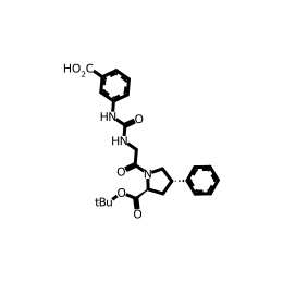 CC(C)(C)OC(=O)[C@@H]1C[C@@H](c2ccccc2)CN1C(=O)CNC(=O)Nc1cccc(C(=O)O)c1